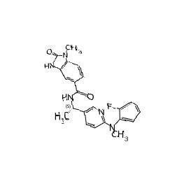 C[C@H](NC(=O)c1ccc2c(c1)[nH]c(=O)n2C)c1ccc(N(C)c2ccccc2F)nc1